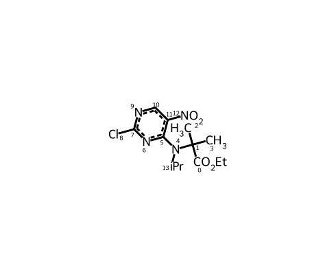 CCOC(=O)C(C)(C)N(c1nc(Cl)ncc1[N+](=O)[O-])C(C)C